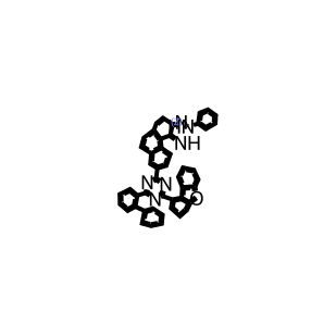 N=C1/C(=N\Nc2ccccc2)C=Cc2ccc3cc(-c4nc(-c5ccccc5-c5ccccc5)nc(-c5cccc6oc7ccccc7c56)n4)ccc3c21